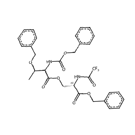 CC(OCc1ccccc1)C(NC(=O)OCc1ccccc1)C(=O)OC[C@H](NC(=O)C(F)(F)F)C(=O)OCc1ccccc1